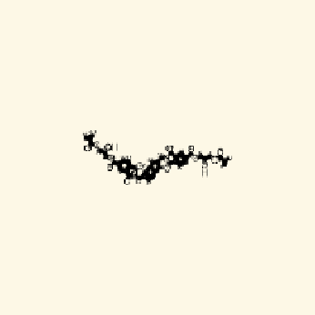 C=C(C)C(=O)OCC(O)COC(=O)c1ccc2c(c1)C(=O)N(CC1CC3C4CC(CN5C(=O)c6ccc(C(=O)OCC(O)COC(=O)C(=C)C)cc6C5=O)C(C4)C3C1)C2=O